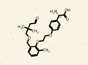 Cc1cccc(COCC(C)(C)CC=O)c1OCCOc1ccc([C@H](N)C(=O)O)cc1